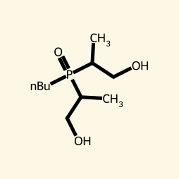 CCCCP(=O)(C(C)CO)C(C)CO